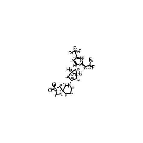 O=S1(=O)CC[C@]2(CCCN([C@H]3C[C@@H]4[C@H](C3)[C@H]4c3cc(C(F)(F)F)nn3CC(F)F)C2)C1